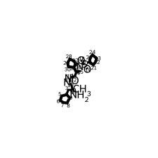 C[C@@](N)(Cc1ccccc1)c1nnc(-c2cn(S(=O)(=O)c3ccccc3)c3ccccc23)o1